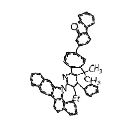 CCC1C(n2c3cc4ccccc4cc3c3ccc4ccccc4c32)=NC2=C(C1c1ccccc1)C(C)(C)c1cc(-c3ccc4c(c3)oc3ccccc34)ccc12